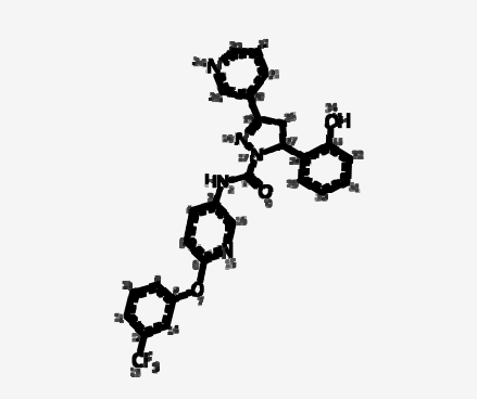 O=C(Nc1ccc(Oc2cccc(C(F)(F)F)c2)nc1)N1N=C(c2cccnc2)CC1c1ccccc1O